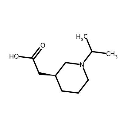 CC(C)N1CCC[C@@H](CC(=O)O)C1